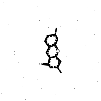 Cc1cc2oc3cc(C)ccc3cc-2c(=O)c1